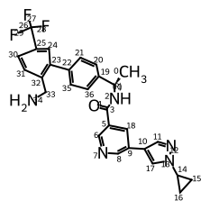 C[C@@H](NC(=O)c1cncc(-c2cnn(C3CC3)c2)c1)c1ccc(-c2cc(C(F)(F)F)ccc2CN)cc1